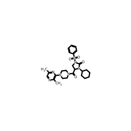 Cc1cnc(C)c(N2CCN(C(=O)C3CN(S(=O)(=O)c4ccccc4)C(=O)N3C3CCCCC3)CC2)n1